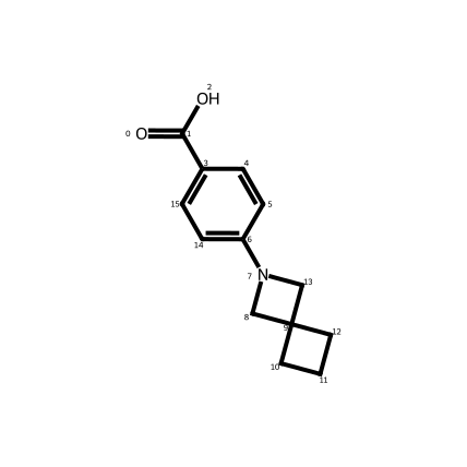 O=C(O)c1ccc(N2CC3(CCC3)C2)cc1